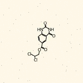 O=C(OCC(Cl)Cl)c1ccc2[nH]c(=O)[nH]c(=O)c2c1